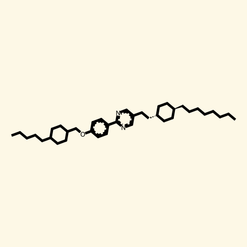 CCCCCCCC[C@H]1CC[C@H](CCc2cnc(-c3ccc(OCC4CCC(CCCCC)CC4)cc3)nc2)CC1